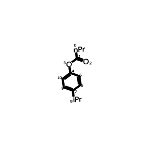 CCCC(=O)Oc1ccc(C(C)C)cc1